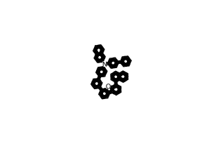 c1ccc(-c2ccc(N(c3ccc(-c4cccc(-c5cccc6c5oc5c(-c7cccc8ccccc78)cccc56)c4)cc3)c3ccc4ccccc4c3)cc2)cc1